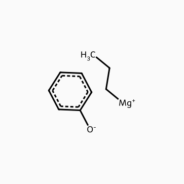 CC[CH2][Mg+].[O-]c1ccccc1